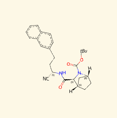 CC(C)(C)OC(=O)N1[C@@H]2CC[C@@H](C2)[C@H]1C(=O)N[C@H](C#N)CCc1ccc2ccccc2c1